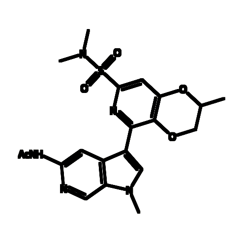 CC(=O)Nc1cc2c(-c3nc(S(=O)(=O)N(C)C)cc4c3OCC(C)O4)cn(C)c2cn1